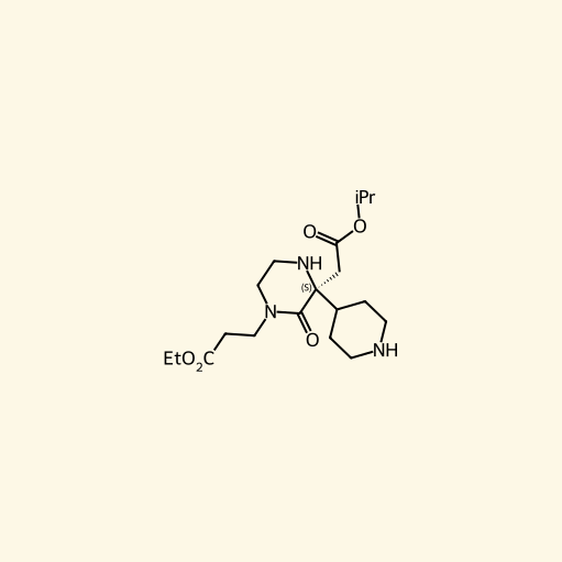 CCOC(=O)CCN1CCN[C@@](CC(=O)OC(C)C)(C2CCNCC2)C1=O